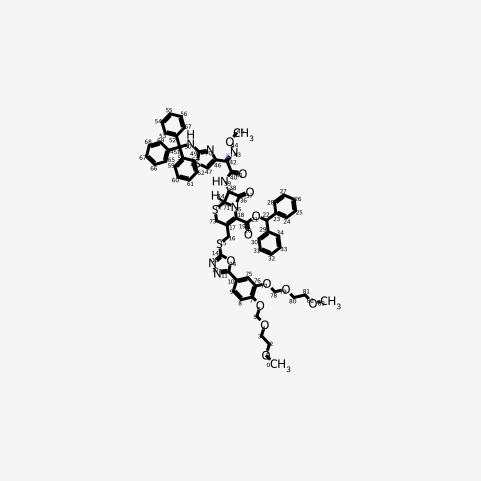 COCCOCOc1ccc(-c2nnc(SCC3=C(C(=O)OC(c4ccccc4)c4ccccc4)N4C(=O)[C@@H](NC(=O)/C(=N/OC)c5csc(NC(c6ccccc6)(c6ccccc6)c6ccccc6)n5)[C@H]4SC3)o2)cc1OCOCCOC